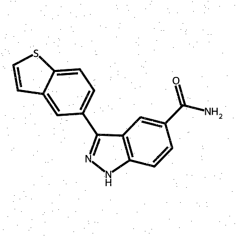 NC(=O)c1ccc2[nH]nc(-c3ccc4sccc4c3)c2c1